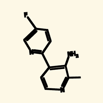 Cc1nccc(-c2ccc(F)cn2)c1N